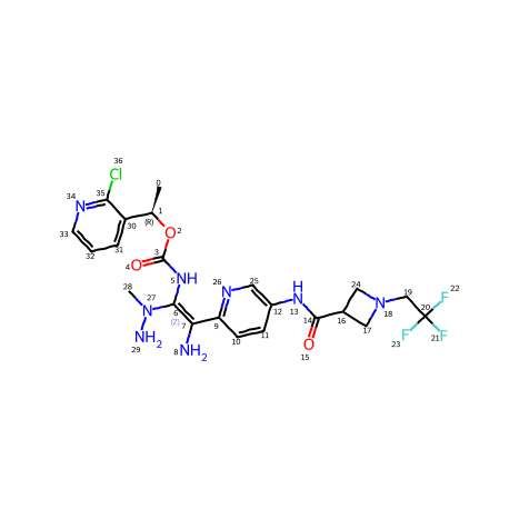 C[C@@H](OC(=O)N/C(=C(/N)c1ccc(NC(=O)C2CN(CC(F)(F)F)C2)cn1)N(C)N)c1cccnc1Cl